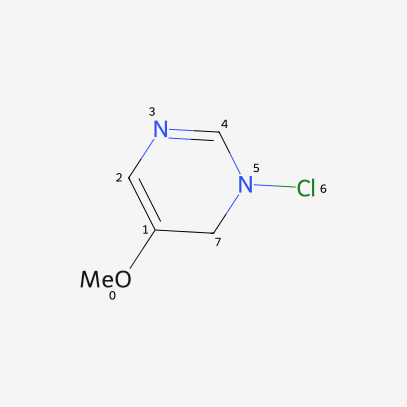 COC1=CN=CN(Cl)C1